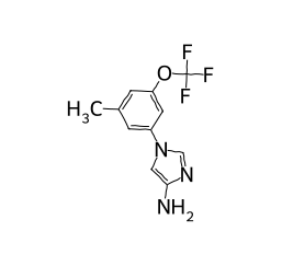 Cc1cc(OC(F)(F)F)cc(-n2cnc(N)c2)c1